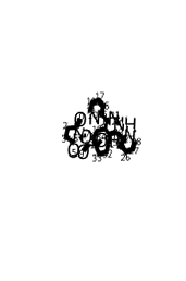 O=C1CCC(=O)N1OC(=O)[C@]12CCC3C(c4ccccn4)=NNC(c4ccccn4)=C3[C@@H](CC1)O2